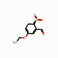 CCOC1=CCC(=S(=O)=O)C(C=O)=C1